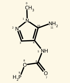 Cn1ncc(NC(=O)OP)c1N